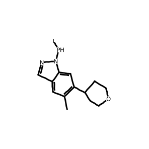 Cc1cc2cnn(PI)c2cc1C1CCOCC1